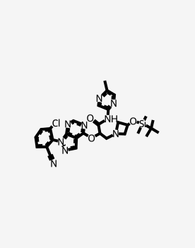 Cc1cnc(NC(=O)C(CN2CC(O[Si](C)(C)C(C)(C)C)C2)Oc2ncnc3c2cnn3-c2c(Cl)cccc2C#N)cn1